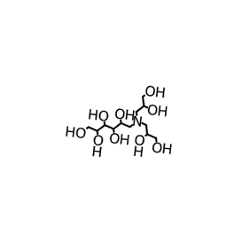 OCC(O)CN(CC(O)CO)CC(O)C(O)C(O)C(O)CO